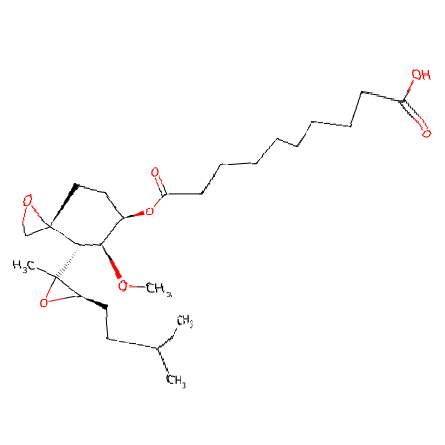 CO[C@H]1[C@H](C2(C)O[C@@H]2CCC(C)C)[C@]2(CC[C@H]1OC(=O)CCCCCCCCC(=O)O)CO2